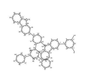 Cc1cc(C)cc(-c2ccc3c(c2)c2ccccc2n3-c2ccc(-c3ccc4c(c3)oc3ccccc34)cc2-c2nc(-c3ccccc3)nc(-c3ccccc3)n2)c1